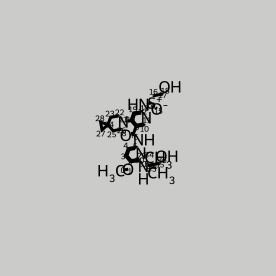 COc1ccc(NC(=O)c2cnc(N[S+]([O-])CCO)cc2N2CCC3(CC2)CC3)nc1NC(C)(C)CO